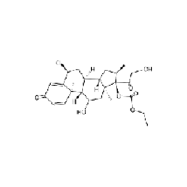 CCOC(=O)O[C@]1(C(=O)CO)[C@H](C)C[C@H]2[C@@H]3C[C@H](Cl)C4=CC(=O)C=C[C@]4(C)[C@H]3C(O)C[C@@]21C